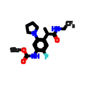 CC(C(=O)NCC(F)(F)F)c1cc(F)c(NC(=O)OC(C)(C)C)cc1N1CCCC1